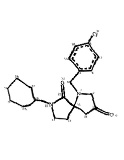 O=C1CN(Cc2ccc(Cl)cc2)C2(CCN(C3CCCCC3)C2=O)C1